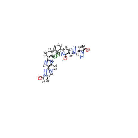 COc1nc(-c2cccc(-c3cccc(-c4ncc5c(n4)CCN(C[C@@H]4CCC(=O)N4)C5)c3Cl)c2Cl)ccc1CNC[C@@H]1CCC(=O)N1